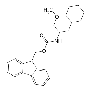 COCC(CC1CCCCC1)NC(=O)OCC1c2ccccc2-c2ccccc21